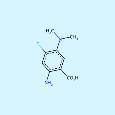 CN(C)c1cc(C(=O)O)c(N)cc1F